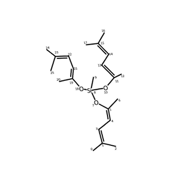 CC(C)=CC=C(C)O[Si](C)(OC(C)=CC=C(C)C)OC(C)=CC=C(C)C